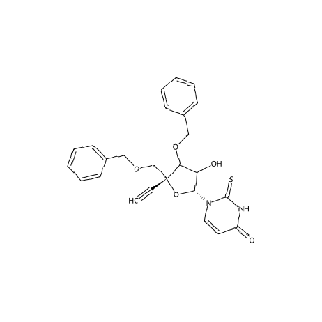 C#C[C@]1(COCc2ccccc2)O[C@@H](n2ccc(=O)[nH]c2=S)C(O)C1OCc1ccccc1